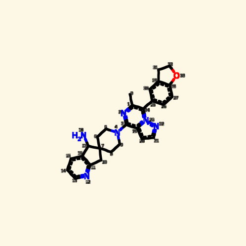 Cc1nc(N2CCC3(CC2)Cc2ncccc2C3N)c2ccnn2c1-c1ccc2c(c1)CCO2